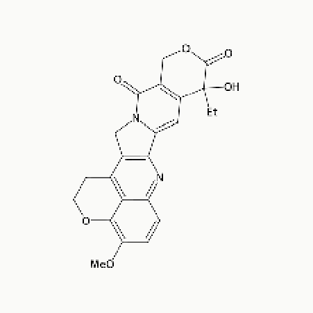 CCC1(O)C(=O)OCc2c1cc1n(c2=O)Cc2c-1nc1ccc(OC)c3c1c2CCO3